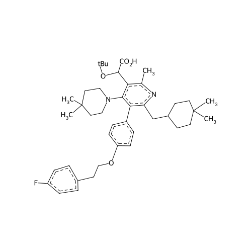 Cc1nc(CC2CCC(C)(C)CC2)c(-c2ccc(OCCc3ccc(F)cc3)cc2)c(N2CCC(C)(C)CC2)c1C(OC(C)(C)C)C(=O)O